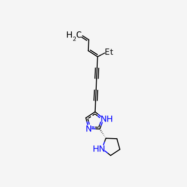 C=C/C=C(/C#CC#Cc1cnc([C@@H]2CCCN2)[nH]1)CC